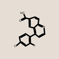 O=C(O)c1ccc2nccc(-c3ccc(Cl)cc3F)c2c1